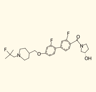 CC(C)(F)CN1CCC(COc2ccc(-c3ccc(C(=O)N4CC[C@H](O)C4)c(F)c3)c(F)c2)CC1